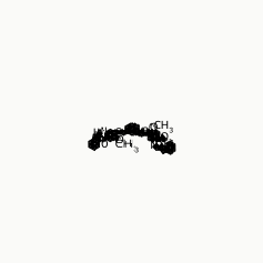 COc1cc2c(cc1OCc1cccc(COc3cc4c(cc3OC)C(=O)N3c5ccccc5C[C@H]3C=N4)c1)N=CC1Cc3ccccc3N1C2=O